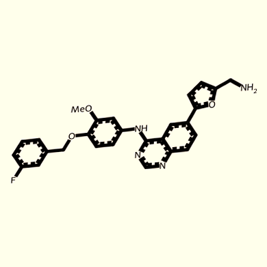 COc1cc(Nc2ncnc3ccc(-c4ccc(CN)o4)cc23)ccc1OCc1cccc(F)c1